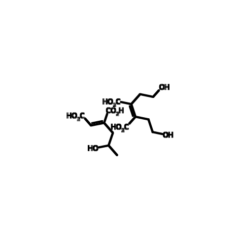 CC(O)C/C(=C/C(=O)O)C(=O)O.O=C(O)/C(CCO)=C(/CCO)C(=O)O